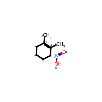 CC1=C(C)CCCC1.O=NO